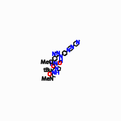 CN[C@@H](C)C(=O)N[C@H](C(=O)N1CCC[C@H]1C(=O)Nc1cc2c(Nc3ccc(N4CCN(C5CCN(C)CC5)CC4)cc3)ncnc2cc1OC)C(C)(C)C